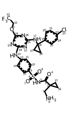 NCC1(C(=O)NS(=O)(=O)c2ccc(Nc3nc(NC4(c5ccc(Cl)cc5)CC4)nc(OCC(F)(F)F)n3)cc2)CC1